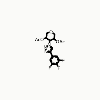 CC(=O)OC1COCC(OC(C)=O)C1n1cc(-c2cc(F)c(F)c(F)c2)nn1